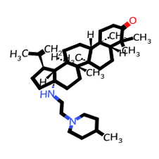 C=C(C)[C@@H]1CC[C@]2(NCCN3CCC(C)CC3)CC[C@]3(C)[C@H](CC[C@@H]4[C@@]5(C)CCC(=O)C(C)(C)[C@@H]5CC[C@]43C)[C@@H]12